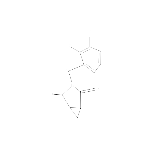 O=C1C2CC2C(O)N1Cc1cccc(F)c1F